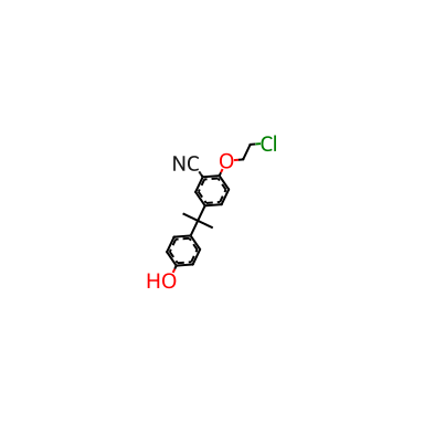 CC(C)(c1ccc(O)cc1)c1ccc(OCCCl)c(C#N)c1